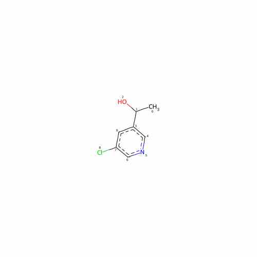 CC(O)c1cn[c]c(Cl)c1